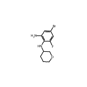 Nc1cc(Br)cc(F)c1NC1CCCOC1